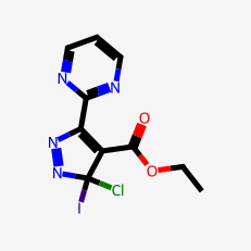 CCOC(=O)C1=C(c2ncccn2)N=NC1(Cl)I